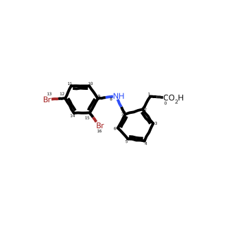 O=C(O)Cc1ccccc1Nc1ccc(Br)cc1Br